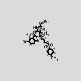 Cc1ccc(S(=O)(=O)OCCN=[S@]2(=O)C[C@@](C)(c3cc(Br)ccc3F)N=C(NC(=O)OC(C)(C)C)C2(C)C)cc1